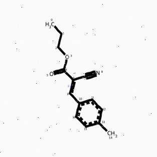 CCCOC(=O)/C(C#N)=C/c1ccc(C)cc1